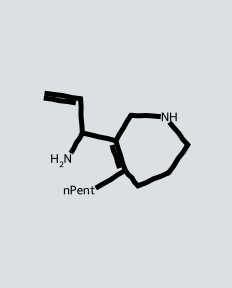 C=CC(N)C1=C(CCCCC)CCCNC1